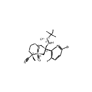 CC(C)(C)[S@@+]([O-])N[C@@](CF)(C[S@]1(=O)=NCCC[C@@]1(C)C#N)c1nc(Br)ccc1F